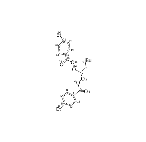 [CH2]CC(C)C[C](OOC(=O)c1ccc(CC)cc1)OOC(=O)c1ccc(CC)cc1